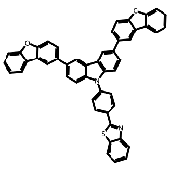 c1ccc2sc(-c3ccc(-n4c5ccc(-c6ccc7oc8ccccc8c7c6)cc5c5cc(-c6ccc7oc8ccccc8c7c6)ccc54)cc3)nc2c1